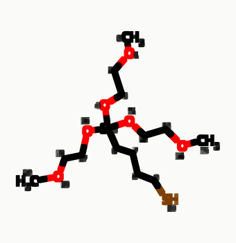 COCCO[Si](CCCCS)(OCCOC)OCCOC